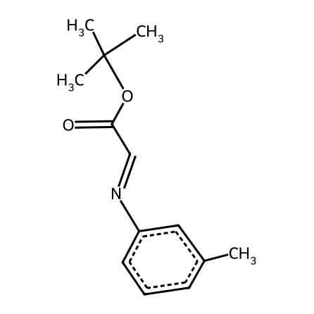 Cc1cccc(N=CC(=O)OC(C)(C)C)c1